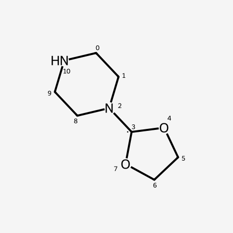 C1CN([C]2OCCO2)CCN1